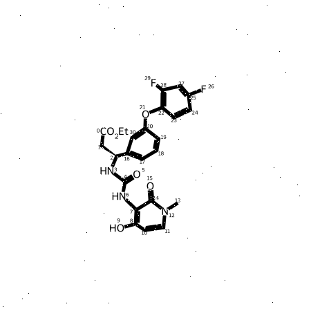 CCOC(=O)C[C@H](NC(=O)Nc1c(O)ccn(C)c1=O)c1cccc(Oc2ccc(F)cc2F)c1